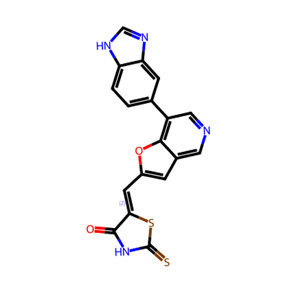 O=C1NC(=S)S/C1=C\c1cc2cncc(-c3ccc4[nH]cnc4c3)c2o1